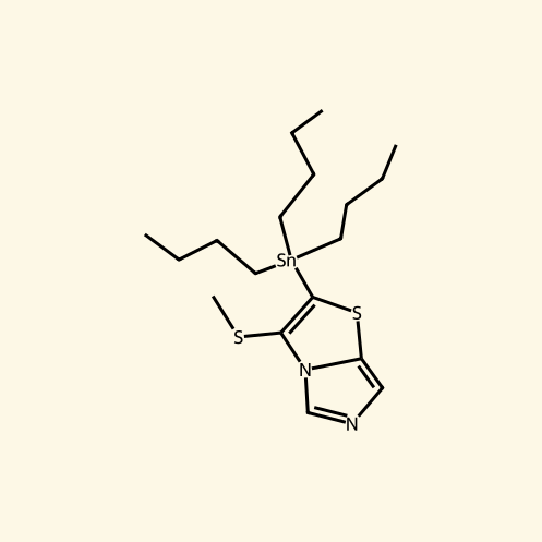 CCC[CH2][Sn]([CH2]CCC)([CH2]CCC)[c]1sc2cncn2c1SC